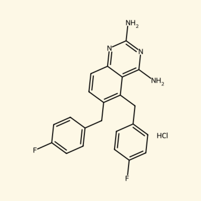 Cl.Nc1nc(N)c2c(Cc3ccc(F)cc3)c(Cc3ccc(F)cc3)ccc2n1